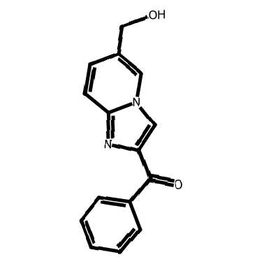 O=C(c1ccccc1)c1cn2cc(CO)ccc2n1